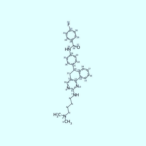 CN(C)CCCCNc1ncc2c(n1)-c1ccccc1C(c1ccc(NC(=O)c3ccc(F)cc3)cc1)C2